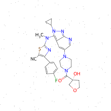 CN(c1nc(-c2ccc(F)cc2)c(C#N)s1)c1c2cc(N3CCN(C(=O)[C@@]4(O)CCOC4)CC3)cnc2nn1C1CC1